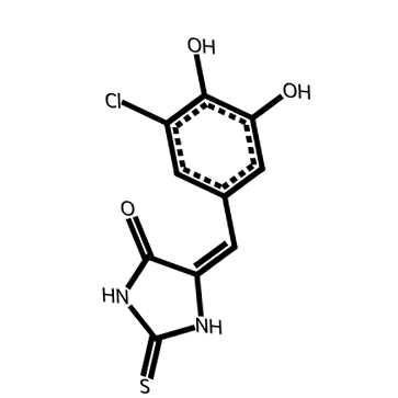 O=C1NC(=S)NC1=Cc1cc(O)c(O)c(Cl)c1